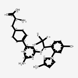 Cc1ccn(-c2cc(Cl)ccc2[C@@H](Oc2cc(C3=CCC(C[C@H](N)C(=O)O)CC3)nc(N)n2)C(F)(F)F)n1